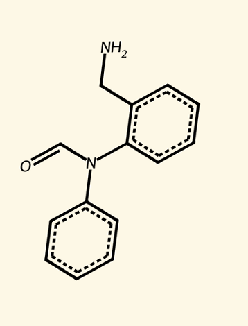 NCc1ccccc1N(C=O)c1ccccc1